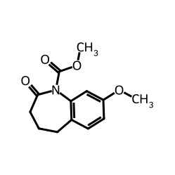 COC(=O)N1C(=O)CCCc2ccc(OC)cc21